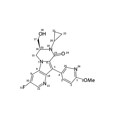 COc1ccc(-c2c3n(c4cc(F)cnc24)C[C@@H](CO)N(C2CC2)C3=O)cn1